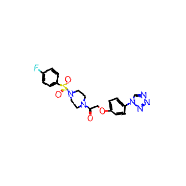 O=C(COc1ccc(-n2cnnn2)cc1)N1CCN(S(=O)(=O)c2ccc(F)cc2)CC1